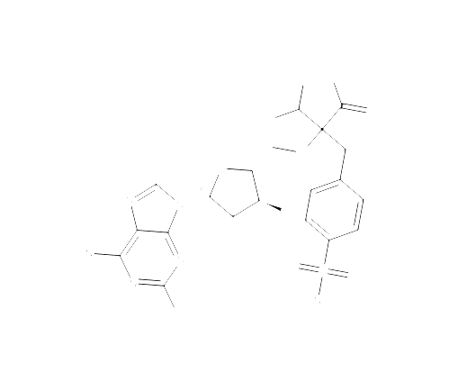 Nc1nc(Cl)nc2c1ncn2[C@@H]1O[C@H](COC(Cc2ccc(S(N)(=O)=O)cc2)(C(=O)O)C(O)O)[C@@H](O)[C@@H]1F